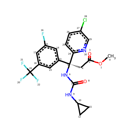 COC(=O)C[C@](NC(=O)NC1CC1)(c1cc(F)cc(C(F)(F)F)c1)c1ccc(Cl)cn1